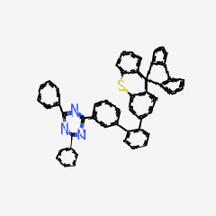 c1ccc(-c2nc(-c3ccccc3)nc(-c3cccc(-c4ccccc4-c4ccc5c(c4)Sc4ccccc4C54c5ccccc5-c5ccccc54)c3)n2)cc1